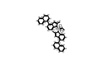 C[CH]=[Hf]([Cl])([Cl])([CH]1C(C)=Cc2c(-c3cccc4ccccc34)cccc21)[CH]1C(C)=Cc2c(-c3cccc4ccccc34)cccc21